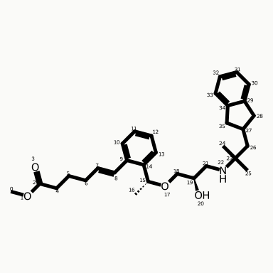 COC(=O)CCC/C=C/c1ccccc1[C@@H](C)OC[C@H](O)CNC(C)(C)CC1Cc2ccccc2C1